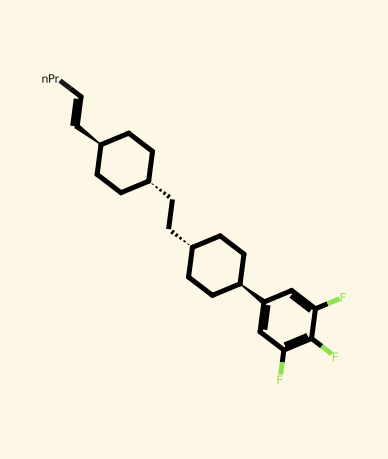 CCC/C=C/[C@H]1CC[C@H](CC[C@H]2CC[C@H](c3cc(F)c(F)c(F)c3)CC2)CC1